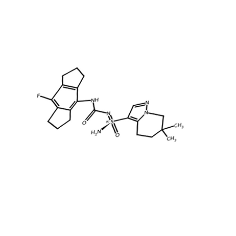 CC1(C)CCc2c([S@](N)(=O)=NC(=O)Nc3c4c(c(F)c5c3CCC5)CCC4)cnn2C1